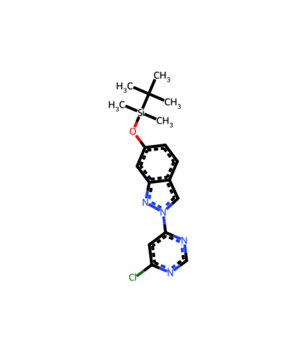 CC(C)(C)[Si](C)(C)Oc1ccc2cn(-c3cc(Cl)ncn3)nc2c1